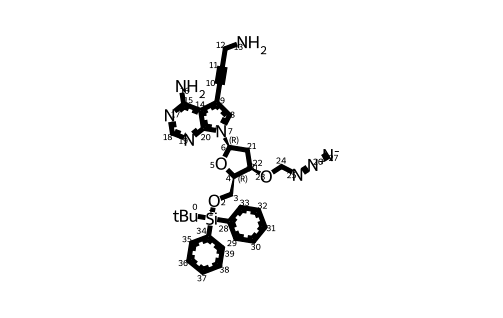 CC(C)(C)[Si](OC[C@H]1O[C@@H](n2cc(C#CCN)c3c(N)ncnc32)C[C@H]1OCN=[N+]=[N-])(c1ccccc1)c1ccccc1